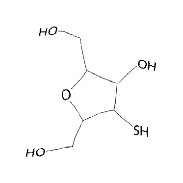 OCC1OC(CO)C(S)C1O